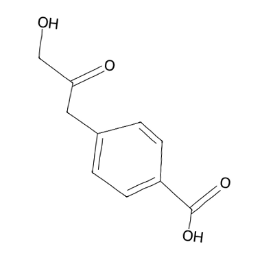 O=C(CO)Cc1ccc(C(=O)O)cc1